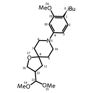 CC[C@H](C)c1ccc(N2CCC3(CC2)CC(C(OC)OC)CO3)cc1OC